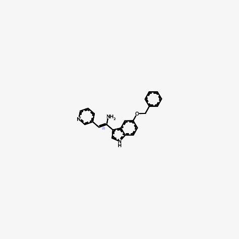 N/C(=C\c1cccnc1)c1c[nH]c2ccc(OCc3ccccc3)cc12